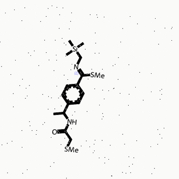 CSCC(=O)NC(C)c1ccc(/C(=N/C[Si](C)(C)C)SC)cc1